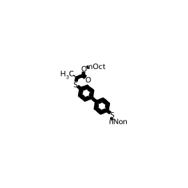 CCCCCCCCCSc1ccc(-c2ccc(S[C@H](C)C(=O)OCCCCCCCC)cc2)cc1